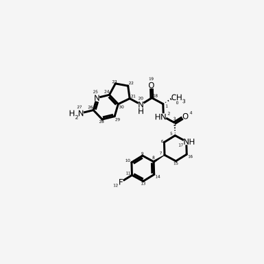 C[C@H](NC(=O)[C@H]1C[C@H](c2ccc(F)cc2)CCN1)C(=O)NC1CCc2nc(N)ccc21